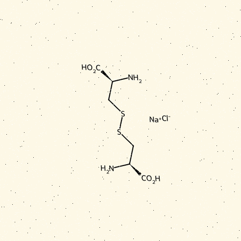 N[C@@H](CSSC[C@H](N)C(=O)O)C(=O)O.[Cl-].[Na+]